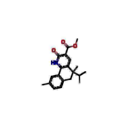 COC(=O)c1cc2c([nH]c1=O)-c1cc(C)ccc1CC2(C)C(C)C